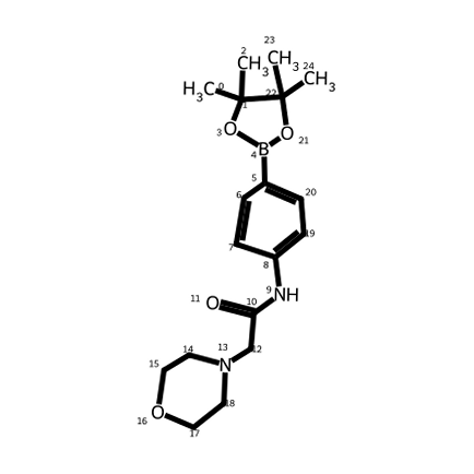 CC1(C)OB(c2ccc(NC(=O)CN3CCOCC3)cc2)OC1(C)C